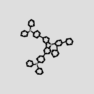 c1ccc(-c2ccc(-n3c4ccc(-c5ccc(N(c6ccccc6)c6ccccc6)cc5)cc4c4cc(-c5ccc(N(c6ccccc6)c6ccccc6)cc5)ccc43)c(-c3ccccc3)c2)cc1